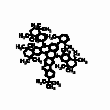 Cc1cc2c(cc1N1c3cc4c(cc3B3c5cc6c(cc5N(c5ccc7c(c5)C(C)(C)CCC7(C)C)c5cc(-c7c(C)cccc7C)cc1c53)C(C)(C)CCC6(C)C)sc1cc(C(C)(C)C)ccc14)C(C)(C)CCC2(C)C